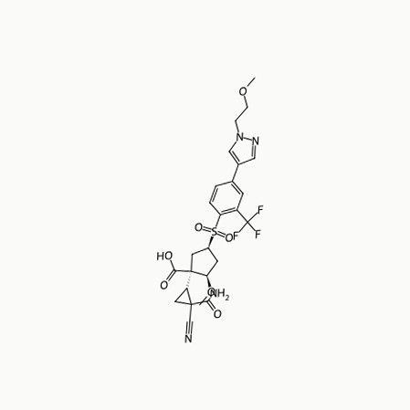 COCCn1cc(-c2ccc(S(=O)(=O)[C@H]3C[C@@H](OC)[C@](C(=O)O)(C4CC4(C#N)C(N)=O)C3)c(C(F)(F)F)c2)cn1